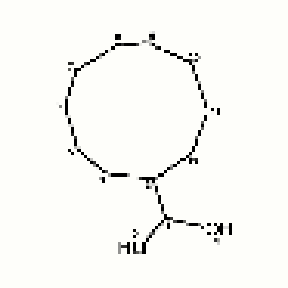 OC(O)C1CCCCCCCCC1